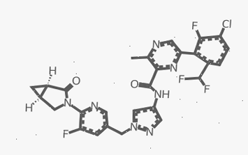 Cc1ncc(-c2c(C(F)F)ccc(Cl)c2F)nc1C(=O)Nc1cnn(Cc2cnc(N3C[C@H]4C[C@H]4C3=O)c(F)c2)c1